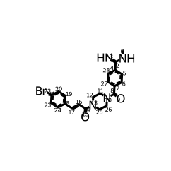 CNC(=N)c1ccc(C(=O)N2CCN(C(=O)/C=C/c3ccc(Br)cc3)CC2)cc1